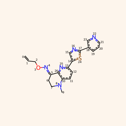 C=CCO/N=C1\CCN(C)c2ccc(-c3cnc(-c4cccnc4)s3)nc21